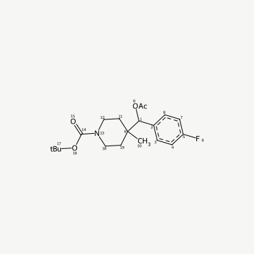 CC(=O)OC(c1ccc(F)cc1)C1(C)CCN(C(=O)OC(C)(C)C)CC1